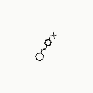 C[Si](C)(C)Sc1ccc(C=NC2CCCCCC2)cc1